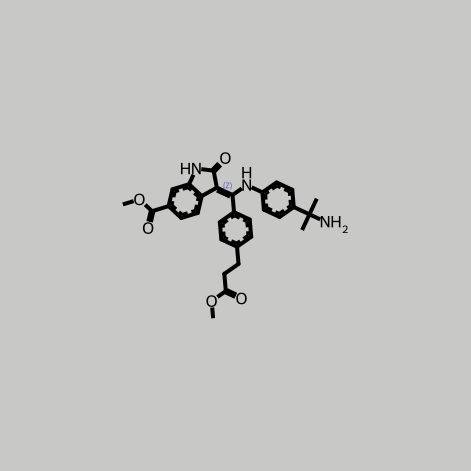 COC(=O)CCc1ccc(/C(Nc2ccc(C(C)(C)N)cc2)=C2/C(=O)Nc3cc(C(=O)OC)ccc32)cc1